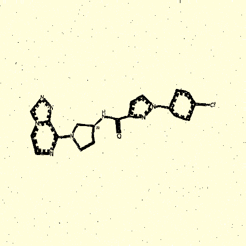 O=C(N[C@H]1CCN(c2nccn3cnnc23)C1)c1ccn(-c2ccc(Cl)cc2)n1